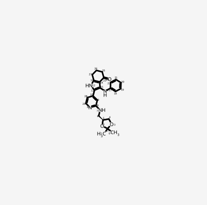 CC1(C)OC[C@H](CNc2cc(-c3[nH]c4c(c3Nc3ccccc3)C(=O)CCC4)ccn2)O1